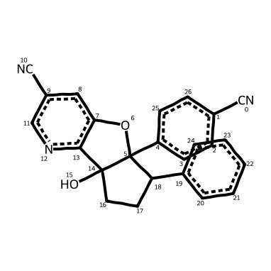 N#Cc1ccc(C23Oc4cc(C#N)cnc4C2(O)CCC3c2ccccc2)cc1